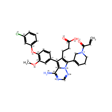 C=CC(=O)N1CCC=C(c2c(CCC(=O)O)c(-c3ccc(Oc4cccc(Cl)c4)c(OC)c3)c3c(N)ncnn23)C1